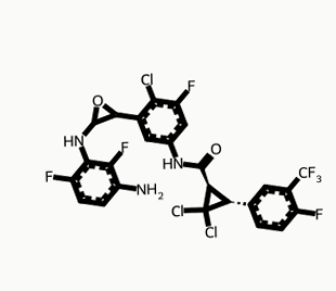 Nc1ccc(F)c(NC2OC2c2cc(NC(=O)[C@H]3[C@H](c4ccc(F)c(C(F)(F)F)c4)C3(Cl)Cl)cc(F)c2Cl)c1F